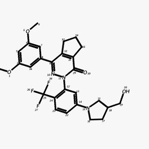 COc1cc(OC)cc(-c2nn(-c3cc(N4CCC(CO)C4)ccc3C(F)(F)F)c(=O)c3c2CCC3)c1